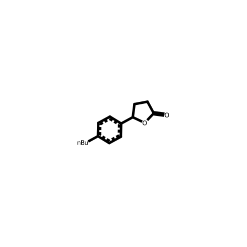 CCCCc1ccc(C2CCC(=O)O2)cc1